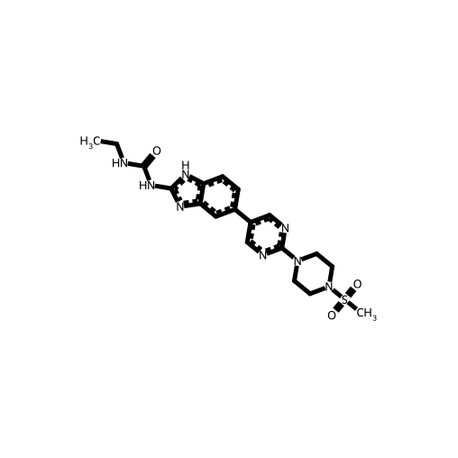 CCNC(=O)Nc1nc2cc(-c3cnc(N4CCN(S(C)(=O)=O)CC4)nc3)ccc2[nH]1